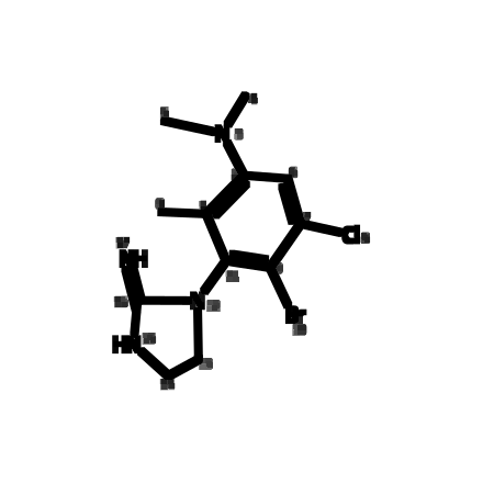 Cc1c(N(C)C)cc(Cl)c(Br)c1N1CCNC1=N